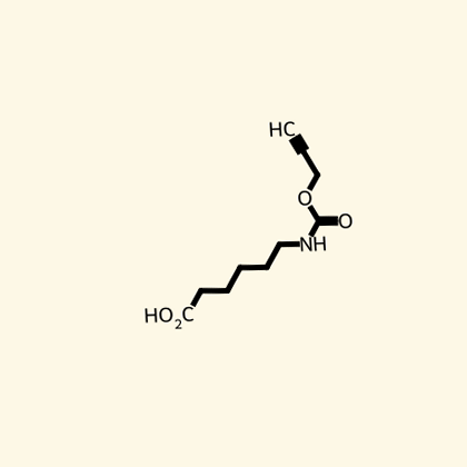 C#CCOC(=O)NCCCCCC(=O)O